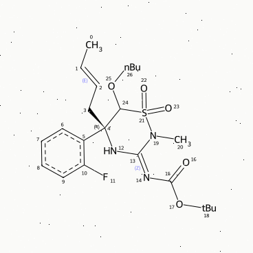 C/C=C/C[C@]1(c2ccccc2F)N/C(=N/C(=O)OC(C)(C)C)N(C)S(=O)(=O)C1OCCCC